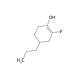 CCCC1CCC(O)=C(F)C1